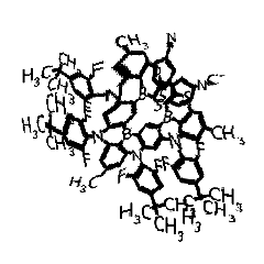 [C-]#[N+]c1ccc2sc3c(c2c1)Sc1cc(C)cc2c1B3c1cc3c(cc1N2c1c(F)cc(C(C)(C)C)cc1F)N(c1c(F)cc(C(C)(C)C)cc1F)c1cc(C)cc2c1B3c1cc3c(cc1N2c1c(F)cc(C(C)(C)C)cc1F)N(c1c(F)cc(C(C)(C)C)cc1F)c1cc(C)cc2c1B3c1sc3ccc(C#N)cc3c1S2